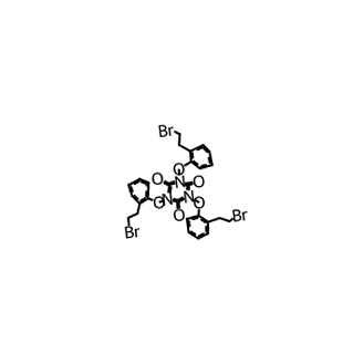 O=c1n(Oc2ccccc2CCBr)c(=O)n(Oc2ccccc2CCBr)c(=O)n1Oc1ccccc1CCBr